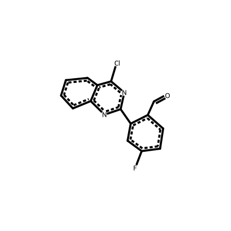 O=Cc1ccc(F)cc1-c1nc(Cl)c2ccccc2n1